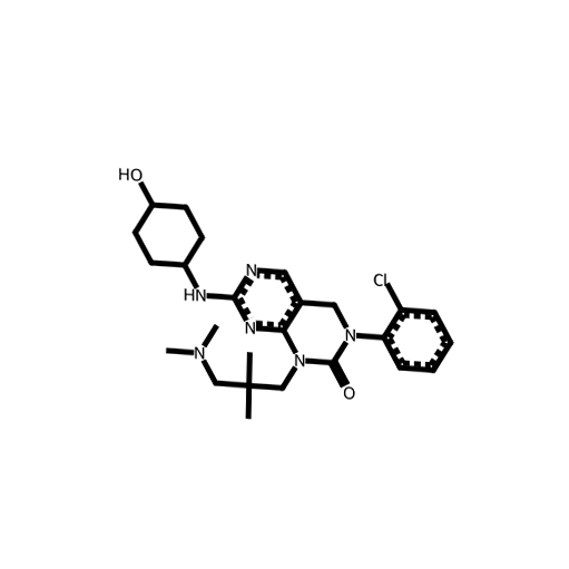 CN(C)CC(C)(C)CN1C(=O)N(c2ccccc2Cl)Cc2cnc(NC3CCC(O)CC3)nc21